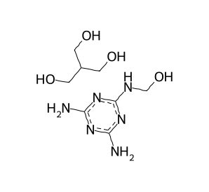 Nc1nc(N)nc(NCO)n1.OCC(CO)CO